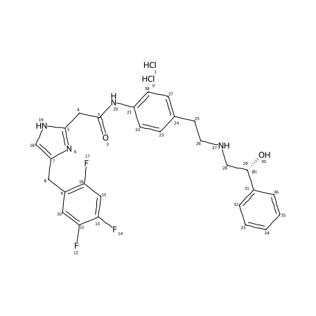 Cl.Cl.O=C(Cc1nc(Cc2cc(F)c(F)cc2F)c[nH]1)Nc1ccc(CCNC[C@H](O)c2ccccc2)cc1